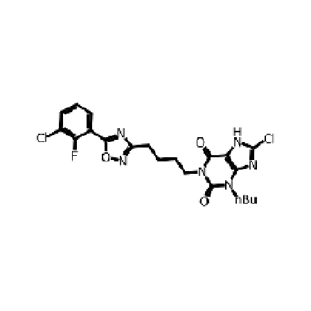 CCCCn1c(=O)n(CCCCc2noc(-c3cccc(Cl)c3F)n2)c(=O)c2[nH]c(Cl)nc21